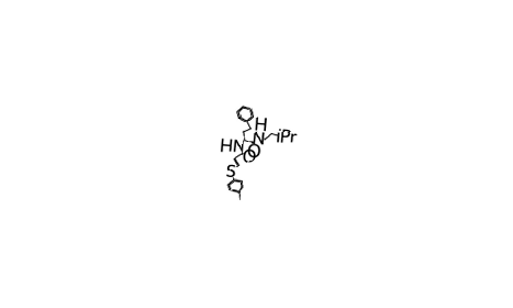 Cc1ccc(S/C=C/C(=O)NC(CCc2ccccc2)C(=O)NCCC(C)C)cc1